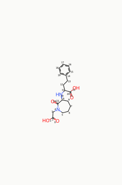 O=C(O)CN1CCCC[C@H](NC(CCc2ccccc2)C(=O)O)C1=O